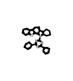 c1ccc(-c2nc(-c3ccccc3)nc(-n3c4c(c5ccc6c7ccccc7oc6c53)CCCC4)n2)cc1